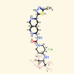 BC(B)(B)C(N[C@H]1CCN(C(=O)Nc2cc3cc(-c4nnc(C)s4)ncc3cn2)C[C@@H]1F)C(B)(B)B